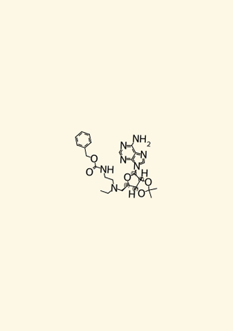 CCN(CCNC(=O)OCc1ccccc1)C[C@H]1O[C@@H](n2cnc3c(N)ncnc32)[C@@H]2OC(C)(C)O[C@@H]21